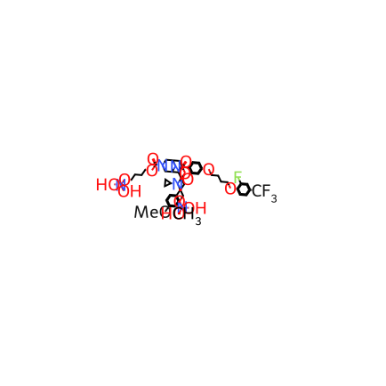 COc1ccc(CN(C(=O)C2=C(c3ccc(OCCCCOc4ccc(C(F)(F)F)cc4F)cc3)CC3CN(C(=O)OCCCCON(O)O)CC2N3C(=O)OCCCCON(O)O)C2CC2)cc1C